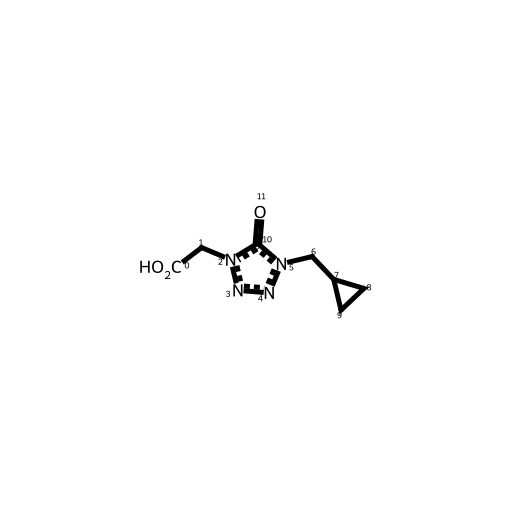 O=C(O)Cn1nnn(CC2CC2)c1=O